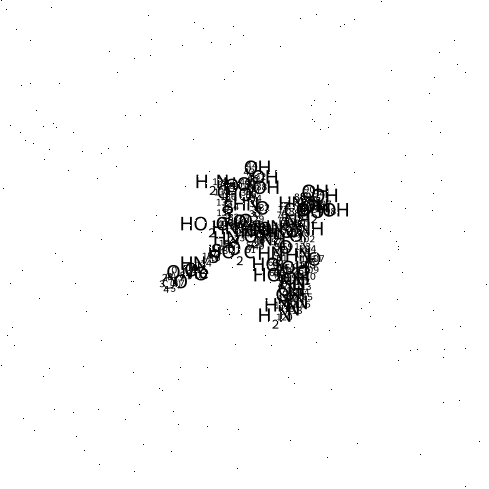 CO[C@@H]1CCCC[C@H]1OCCOC(=O)NCCSSCCC(=O)NC[C@H](NC(=O)[C@H](CCC(=O)NC[C@H](O)[C@@H](O)[C@H](O)[C@H](O)CO)NC(=O)[C@H](CCC(=O)O)NC(=O)[C@H](CCC(=O)NC[C@H](O)[C@@H](O)[C@H](O)[C@H](O)CO)NC(=O)[C@H](CCC(=O)O)NC(=O)[C@H](CCC(=O)NC[C@H](O)[C@@H](O)[C@H](O)[C@H](O)CO)NC(=O)CCCNC(=O)c1ccc(NCc2cnc3nc(N)[nH]c(=O)c3n2)cc1)C(=O)N[C@@H](CSSCCOC(N)=O)C(=O)O